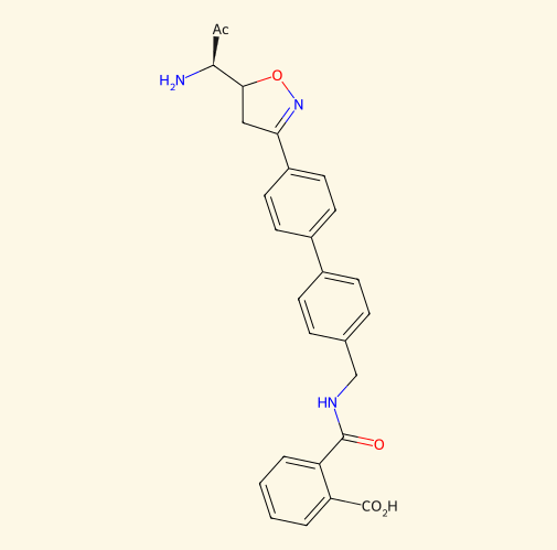 CC(=O)[C@H](N)C1CC(c2ccc(-c3ccc(CNC(=O)c4ccccc4C(=O)O)cc3)cc2)=NO1